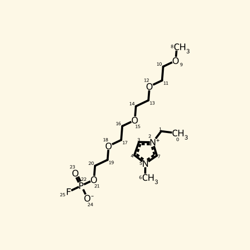 CC[n+]1ccn(C)c1.COCCOCCOCCOCCOP(=O)([O-])F